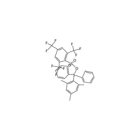 Cc1cc(C)c(S(OS(=O)(=O)c2c(C(F)(F)F)cc(C(F)(F)F)cc2C(F)(F)F)(c2ccccc2)c2ccccc2)c(C)c1